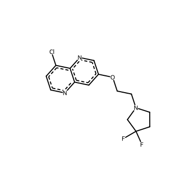 FC1(F)CCN(CCOc2cnc3c(Cl)ccnc3c2)C1